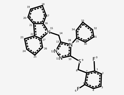 Fc1cccc(F)c1CSc1nnc(Cn2c3ccccc3c3ccccc32)n1-c1ccccc1